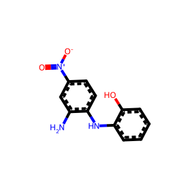 Nc1cc([N+](=O)[O-])ccc1Nc1ccccc1O